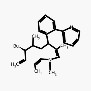 C=CC(C(C)CC(/C(C)=C\N(C)/C=C\C)c1ccccc1-c1ccccn1)[C@H](C)CC